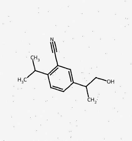 [CH2]C(CO)c1ccc(C(C)C)c(C#N)c1